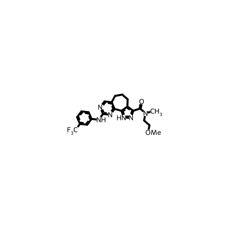 COCCN(C)C(=O)c1n[nH]c2c1CCCc1cnc(Nc3cccc(C(F)(F)F)c3)nc1-2